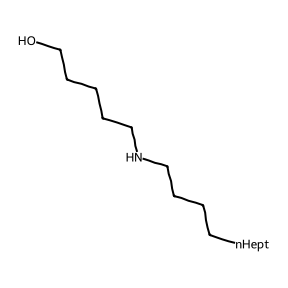 CCCCCCCCCCCNCCCCCO